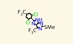 CSc1nc(C(F)(F)F)c2nc(-c3c(Cl)cc(C(F)(F)F)cc3Cl)[nH]c2n1